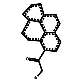 O=C(CBr)c1ccc2ccc3cccc4ccc1c2c34